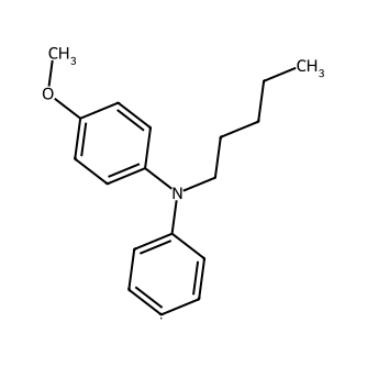 CCCCCN(c1cc[c]cc1)c1ccc(OC)cc1